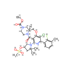 Cc1cccc(-c2nc(N3CC(OS(C)(=O)=O)CC3(C)C)c3c(c2Cl)OC[C@H]2CN(C(=O)OC(C)(C)C)CCN2C3=O)c1F